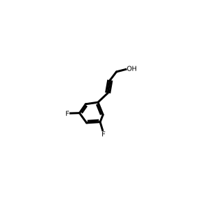 OCC#Cc1cc(F)cc(F)c1